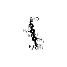 CCC(CC)(c1ccc(C#CC(O)(C(F)(F)F)C(F)(F)F)c(C)c1)c1ccc(-c2ccc(COC=O)cn2)c(C)c1